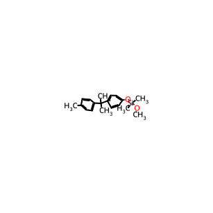 CO[Si](C)(C)Oc1ccc(C(C)(C)c2ccc(C)cc2)cc1